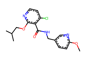 COc1ccc(CNC(=O)c2c(Cl)ccnc2OCC(C)C)cn1